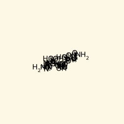 NC(=O)c1cccc([C@@H]2O[C@H](COP(=O)(O)OP(=O)(O)OC[C@H]3O[C@@H](n4cnc5c(N)ncnc54)C(O)[C@H]3O)C(O)[C@@H]2O)n1